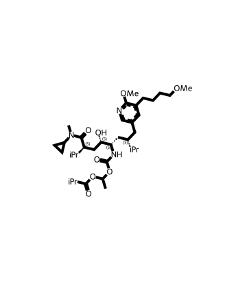 COCCCCc1cc(C[C@@H](C[C@H](NC(=O)OC(C)OC(=O)C(C)C)[C@@H](O)C[C@H](C(=O)N(C)C2CC2)C(C)C)C(C)C)cnc1OC